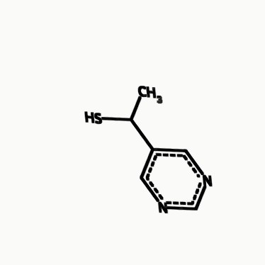 CC(S)c1cncnc1